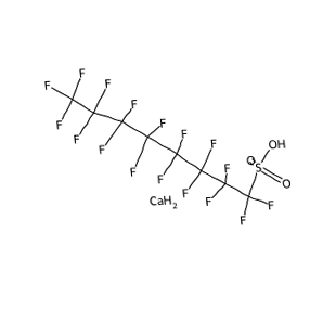 O=S(=O)(O)C(F)(F)C(F)(F)C(F)(F)C(F)(F)C(F)(F)C(F)(F)C(F)(F)C(F)(F)F.[CaH2]